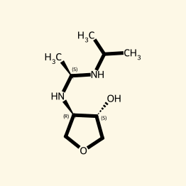 CC(C)N[C@H](C)N[C@@H]1COC[C@H]1O